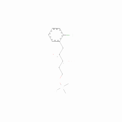 CC(C)(C)[Si](C)(C)OCC[C@@H](O)[C@H](O)Cc1ccccc1Cl